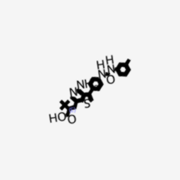 Cc1cccc(NC(=O)Nc2ccc(-c3csc4c(/C=C(/C(=O)O)C(C)(C)C)cnc(N)c34)cc2)c1